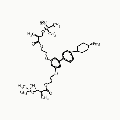 C=C(CO[Si](C)(C)C(C)(C)C)C(=O)OCCOc1cc(OCCOC(=O)C(=C)CO[Si](C)(C)C(C)(C)C)cc(-c2ccc(C3CCC(CCCCC)CC3)cc2)c1